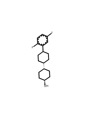 CCC[C@H]1CC[C@H](C2CCC(c3cc(F)ccc3F)CC2)CC1